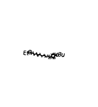 CCOCCCCCCCCCCCc1ccc(C(C)(C)C)cc1